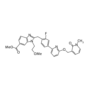 COCCn1c(Cc2ccc(-c3cccc(OCc4cccn(C)c4=O)n3)cc2F)nc2ccc(C(=O)OC)cc21